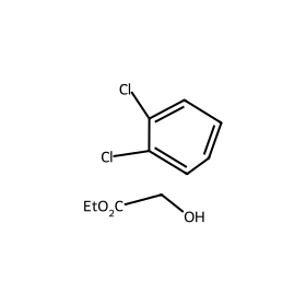 CCOC(=O)CO.Clc1ccccc1Cl